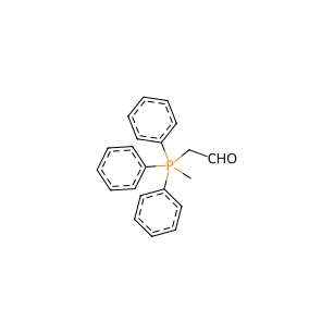 CP(CC=O)(c1ccccc1)(c1ccccc1)c1ccccc1